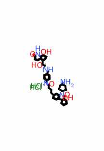 CN(C(=O)CCCc1ccc(-c2ccccc2)c(N(C(=O)O)C2CCC(N)CC2)c1)c1ccc(CNC[C@H](O)c2ccc(O)c3[nH]c(=O)ccc23)cc1.Cl.Cl